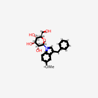 COc1ccc2c(c1)c(Cc1ccccc1)cn2[C@@H]1O[C@H](CO)[C@@H](O)[C@H](O)[C@H]1O